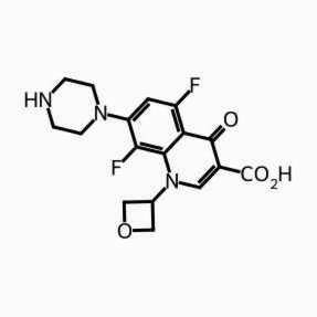 O=C(O)c1cn(C2COC2)c2c(F)c(N3CCNCC3)cc(F)c2c1=O